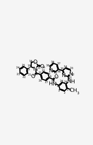 Cc1ccc(NC(=O)c2ccc(C(=O)N3C(=O)OC[C@@H]3c3ccccc3)cc2)cc1Nc1nccc(-c2cccnc2)n1